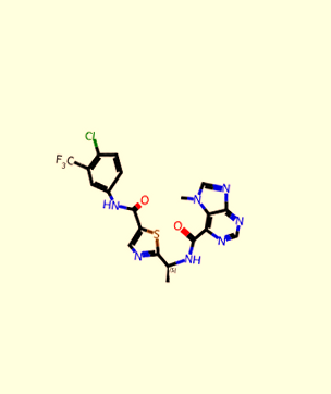 C[C@H](NC(=O)c1ncnc2ncn(C)c12)c1ncc(C(=O)Nc2ccc(Cl)c(C(F)(F)F)c2)s1